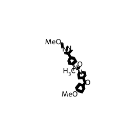 COCCn1cc(-c2ccc(N(C)C(=O)N3CCC(C(=O)c4ccc(OC)cc4)CC3)cc2)cn1